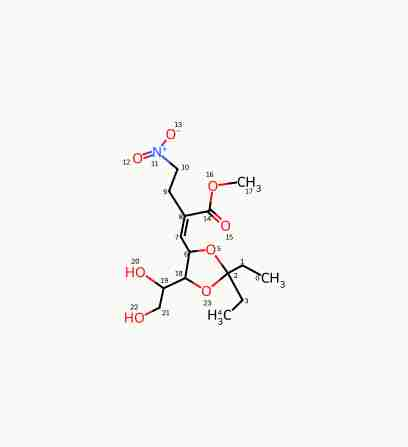 CCC1(CC)OC(C=C(CC[N+](=O)[O-])C(=O)OC)C(C(O)CO)O1